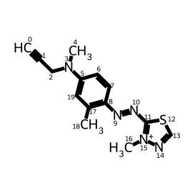 C#CCN(C)c1ccc(/N=N/c2scn[n+]2C)c(C)c1